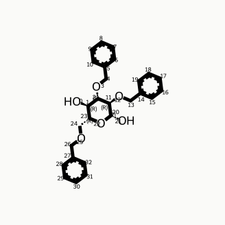 O[C@H]1[C@H](OCc2ccccc2)[C@@H](OCc2ccccc2)[C@H](O)O[C@@H]1COCc1ccccc1